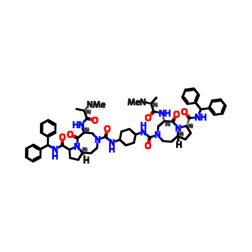 CN[C@@H](C)C(=O)N[C@H]1CN(C(=O)NC2CCC(NC(=O)N3CC[C@H]4CC[C@@H](C(=O)NC(c5ccccc5)c5ccccc5)N4C(=O)[C@@H](NC(=O)[C@H](C)NC)C3)CC2)CC[C@H]2CCC(C(=O)NC(c3ccccc3)c3ccccc3)N2C1=O